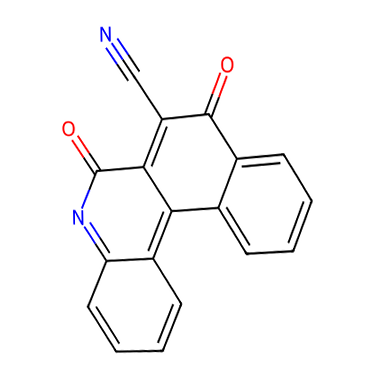 N#CC1=C2C(=O)N=c3ccccc3=C2c2ccccc2C1=O